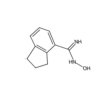 N=C(NO)c1cccc2c1CC[CH]2